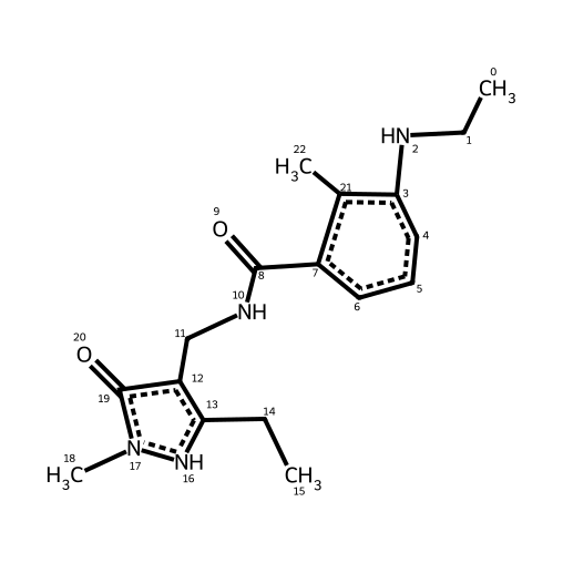 CCNc1cccc(C(=O)NCc2c(CC)[nH]n(C)c2=O)c1C